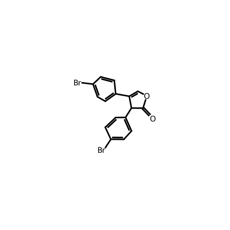 O=C1OC=C(c2ccc(Br)cc2)C1c1ccc(Br)cc1